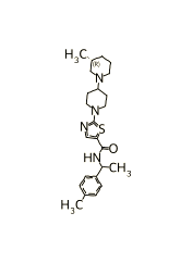 Cc1ccc(C(C)NC(=O)c2cnc(N3CCC(N4CCC[C@@H](C)C4)CC3)s2)cc1